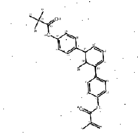 C=C(C)C(=O)Oc1ccc(C2=CC=CC(c3ccc(OC(=O)C(C)(C)C)cc3)C2C)cc1